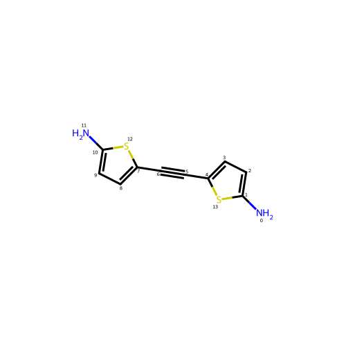 Nc1ccc(C#Cc2ccc(N)s2)s1